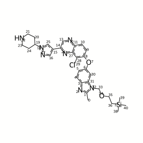 Cc1nc2ccc(Oc3ccc4ncc(-c5cnn(C6CCNCC6)c5)nc4c3Cl)cc2n1COCC[Si](C)(C)C